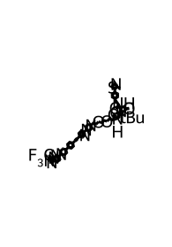 Cc1ncsc1-c1ccc(CNC(=O)C2CC(=O)CN2C(=O)C(NC(=O)CCOCCOCCN2CCN(c3ccc(C#Cc4ccc(C5CCN(C6=Nn7c(nnc7C(F)(F)F)CC6)CC5)cc4)cn3)CC2)C(C)(C)C)cc1